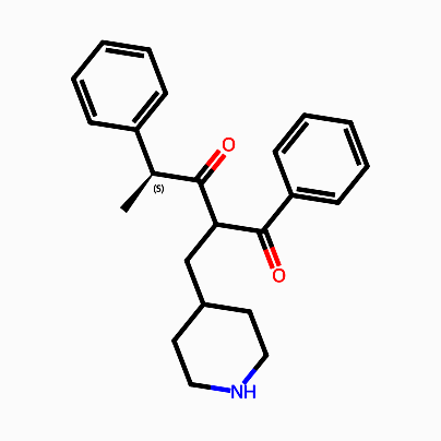 C[C@H](C(=O)C(CC1CCNCC1)C(=O)c1ccccc1)c1ccccc1